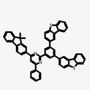 CC1(C)c2ccccc2-c2ccc(-c3cc(-c4ccccc4)nc(-c4cc(-c5ccc6sc7ccccc7c6c5)cc(-c5ccc6sc7ccccc7c6c5)c4)n3)cc21